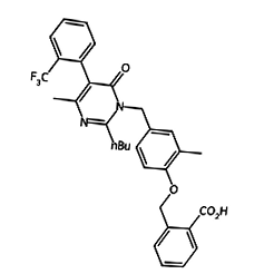 CCCCc1nc(C)c(-c2ccccc2C(F)(F)F)c(=O)n1Cc1ccc(OCc2ccccc2C(=O)O)c(C)c1